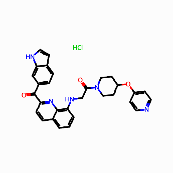 Cl.O=C(c1ccc2cc[nH]c2c1)c1ccc2cccc(NCC(=O)N3CCC(Oc4ccncc4)CC3)c2n1